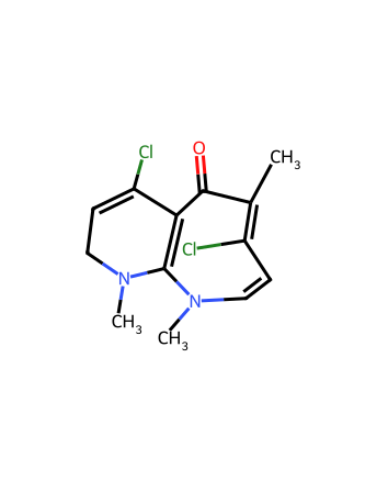 C/C1=C(Cl)\C=C/N(C)C2=C(C1=O)C(Cl)=CCN2C